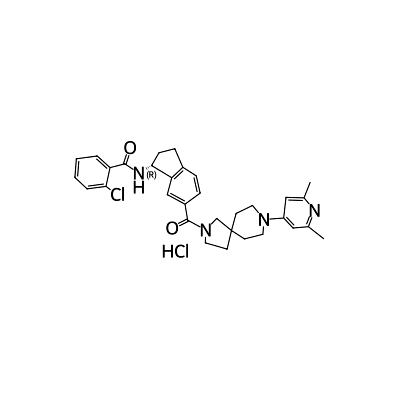 Cc1cc(N2CCC3(CCN(C(=O)c4ccc5c(c4)[C@H](NC(=O)c4ccccc4Cl)CC5)C3)CC2)cc(C)n1.Cl